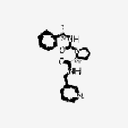 C[C@H](NC(=O)N1CCC[C@@H]1C(=O)NCc1cccnc1)c1ccccc1